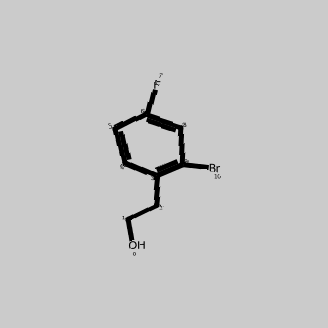 OC[CH]c1ccc(F)cc1Br